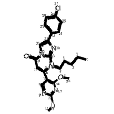 CCCCCn1c(-c2cnc(OC)nc2OC)cc(=O)n2cc(-c3ccc(Cl)cc3)nc12